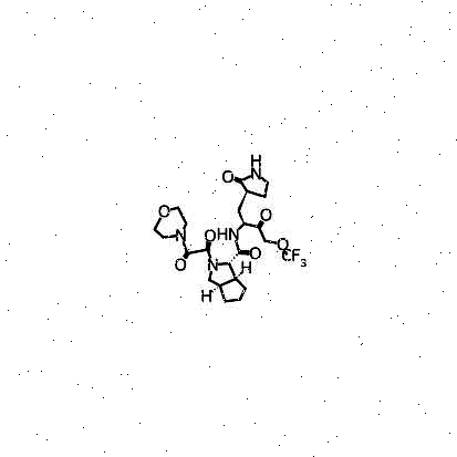 O=C1NCC[C@H]1C[C@H](NC(=O)[C@@H]1[C@H]2CCC[C@H]2CN1C(=O)C(=O)N1CCOCC1)C(=O)COC(F)(F)F